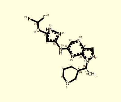 C[C@H]([C@@H]1CCCOC1)n1ncc2ncc(Nc3cc(OC(F)F)[nH]n3)nc21